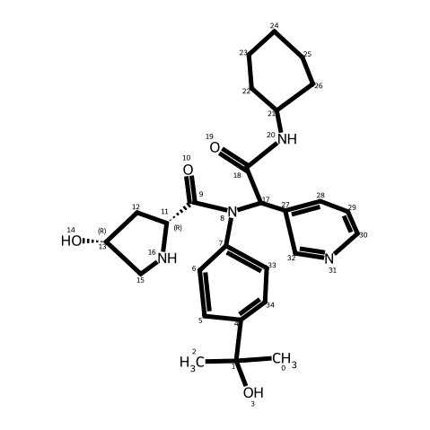 CC(C)(O)c1ccc(N(C(=O)[C@H]2C[C@@H](O)CN2)C(C(=O)NC2CCCCC2)c2cccnc2)cc1